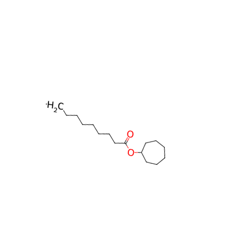 [CH2]CCCCCCCC(=O)OC1CCCCCC1